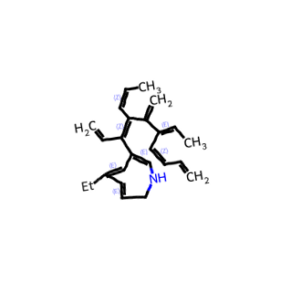 C=C/C=C\C(=C/C)C(=C)C(/C=C\C)=C(C=C)\C1=C\NC/C=C/C(CC)=C/1